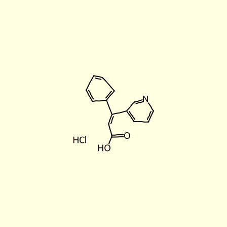 Cl.O=C(O)C=C(c1ccccc1)c1cccnc1